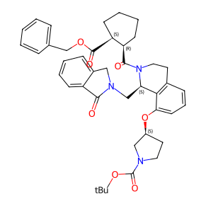 CC(C)(C)OC(=O)N1CC[C@H](Oc2cccc3c2[C@@H](CN2Cc4ccccc4C2=O)N(C(=O)[C@@H]2CCCC[C@@H]2C(=O)OCc2ccccc2)CC3)C1